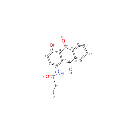 CCCC(=O)Nc1ccc(Br)c2c1C(=O)c1ccccc1C2=O